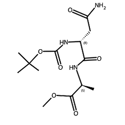 COC(=O)[C@H](C)NC(=O)[C@@H](CC(N)=O)NC(=O)OC(C)(C)C